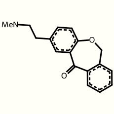 CNCCc1ccc2c(c1)C(=O)c1ccccc1CO2